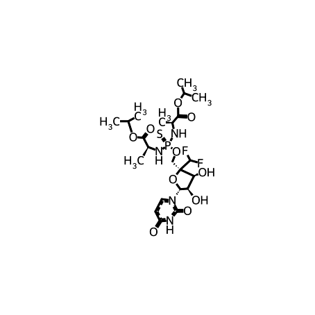 CC(C)OC(=O)[C@H](C)NP(=S)(N[C@@H](C)C(=O)OC(C)C)OC[C@@]1(C(F)F)O[C@@H](n2ccc(=O)[nH]c2=O)[C@H](O)[C@@H]1O